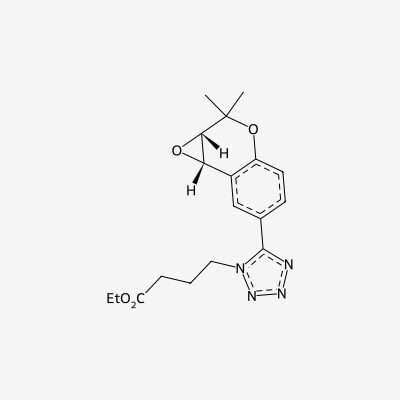 CCOC(=O)CCCn1nnnc1-c1ccc2c(c1)[C@@H]1O[C@@H]1C(C)(C)O2